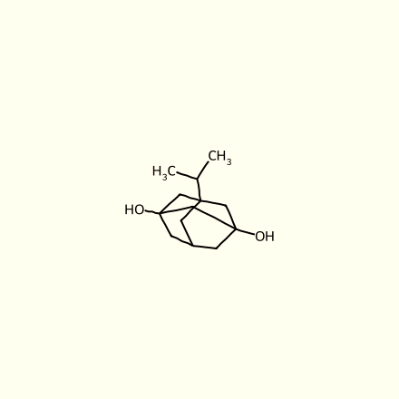 CC(C)C12CC3CC(O)(CC(O)(C3)C1)C2